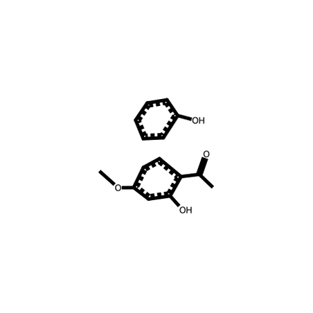 COc1ccc(C(C)=O)c(O)c1.Oc1ccccc1